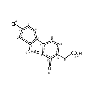 CC(=O)Nc1cc(Cl)ccc1-c1cc(=O)n(CC(=O)O)cn1